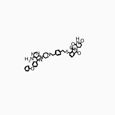 Nc1ncnc2c1c(-c1ccc(Oc3ccccc3)cc1)nn2C1CCN(CCc2ccc(CCSc3cccc4c3C(=O)N(C3CCC(=O)NC3=O)C4=O)cc2)CC1